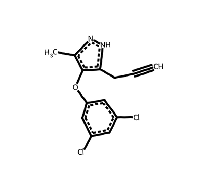 C#CCc1[nH]nc(C)c1Oc1cc(Cl)cc(Cl)c1